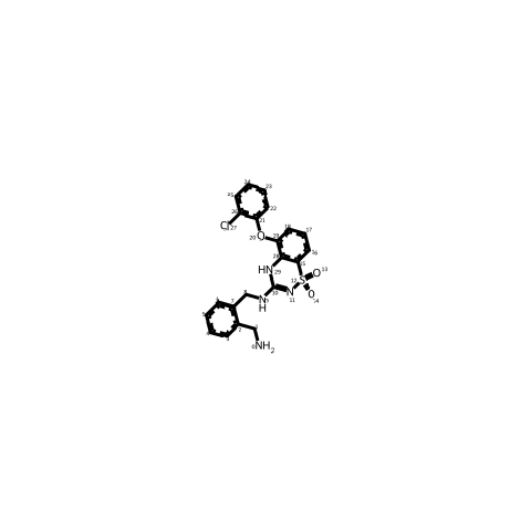 NCc1ccccc1CNC1=NS(=O)(=O)c2cccc(Oc3ccccc3Cl)c2N1